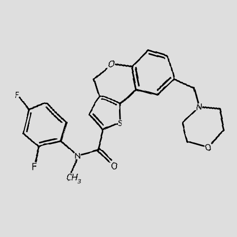 CN(C(=O)c1cc2c(s1)-c1cc(CN3CCOCC3)ccc1OC2)c1ccc(F)cc1F